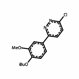 COc1cc(-c2ccc(Cl)nn2)ccc1OCC(C)C